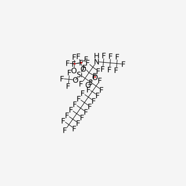 O=S(=O)(C(F)(F)C(F)(F)C(F)(F)C(F)(F)C(F)(F)C(F)(F)C(F)(F)C(F)(F)F)C(F)(C(F)(F)C(F)(F)NC(F)(F)C(F)(F)C(F)(F)F)[Si](OC(F)(F)F)(OC(F)(F)F)OC(F)(F)F